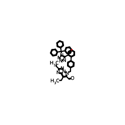 CCc1nc2c(CC)c(C=O)n(Cc3ccc(-c4ccccc4-c4nnnn4C(c4ccccc4)(c4ccccc4)c4ccccc4)cc3)n2n1